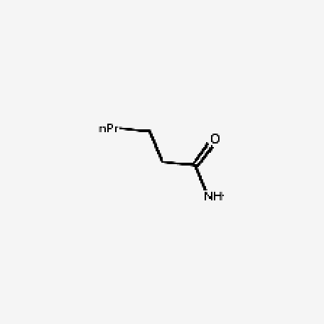 [CH2]CCCCC([NH])=O